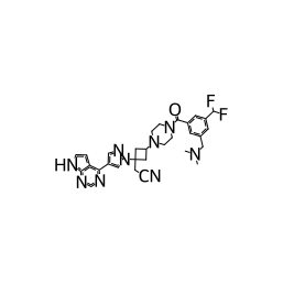 CN(C)Cc1cc(C(=O)N2CCN(C3CC(CC#N)(n4cc(-c5ncnc6[nH]ccc56)cn4)C3)CC2)cc(C(F)F)c1